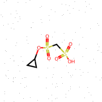 O=S(=O)(O)CS(=O)(=O)OC1CC1